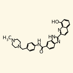 CN1CCN(Cc2ccc(NC(=O)c3ccc4nc(-c5ccc6cccc(O)c6n5)[nH]c4c3)cc2)CC1